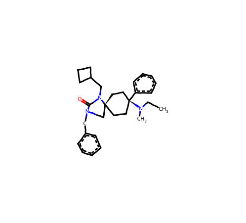 CCN(C)[C@]1(c2ccccc2)CC[C@@]2(CC1)CN(Cc1ccccc1)C(=O)N2CC1CCC1